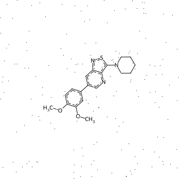 COc1ccc(-c2cnc3c(N4CCCCC4)snc3c2)cc1OC